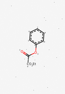 CCOC(=O)C(=O)Oc1ccccc1